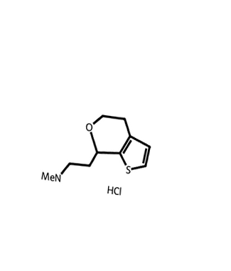 CNCCC1OCCc2ccsc21.Cl